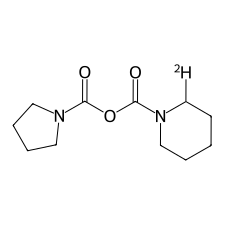 [2H]C1CCCCN1C(=O)OC(=O)N1CCCC1